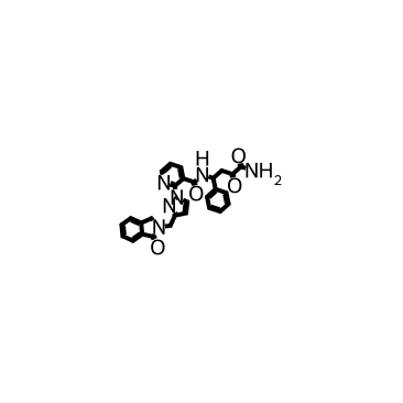 NC(=O)C(=O)CC(NC(=O)c1cccnc1-n1ccc(CN2Cc3ccccc3C2=O)n1)c1ccccc1